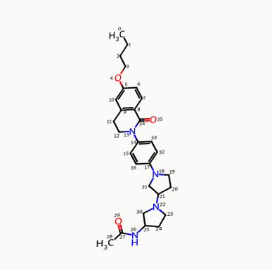 CCCCOc1ccc2c(c1)CCN(c1ccc(N3CCC(N4CCC(NC(C)=O)C4)C3)cc1)C2=O